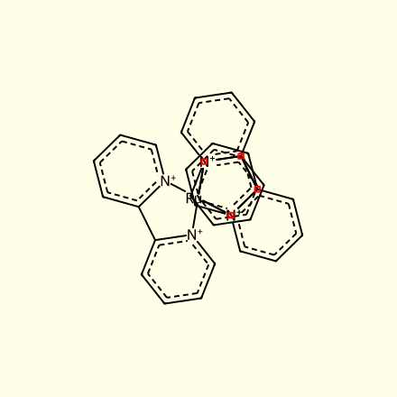 c1cc[n+]2c(c1)-c1cccc[n+]1[Ru]213([n+]2ccccc2-c2cccc[n+]21)[n+]1ccccc1-c1cccc[n+]13